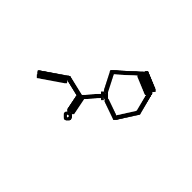 C=CC(=O)N1CC#CCC1